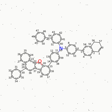 C1=Cc2ccc(-c3ccc(N(c4ccc(-c5cccc6c5oc5c7ccccc7c(-c7ccccc7)cc65)cc4)c4cccc(-c5ccccc5)c4)cc3)cc2CC1